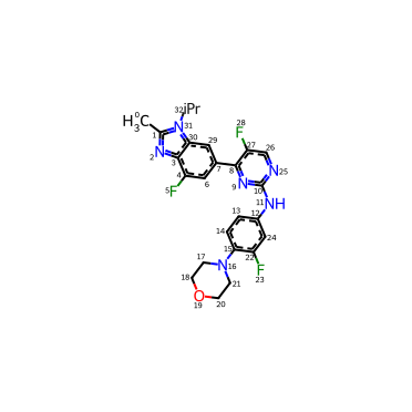 Cc1nc2c(F)cc(-c3nc(Nc4ccc(N5CCOCC5)c(F)c4)ncc3F)cc2n1C(C)C